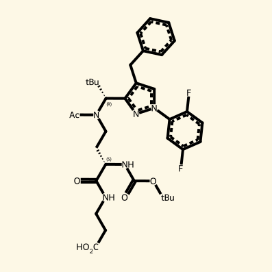 CC(=O)N(CC[C@H](NC(=O)OC(C)(C)C)C(=O)NCCC(=O)O)[C@@H](c1nn(-c2cc(F)ccc2F)cc1Cc1ccccc1)C(C)(C)C